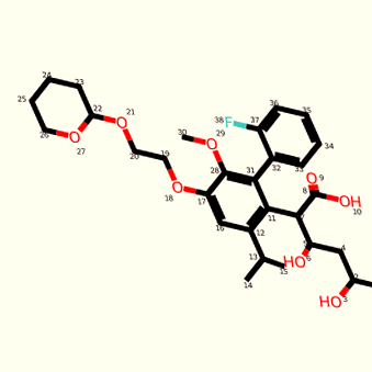 C=CC(O)CC(O)C(C(=O)O)c1c(C(C)C)cc(OCCOC2CCCCO2)c(OC)c1-c1ccccc1F